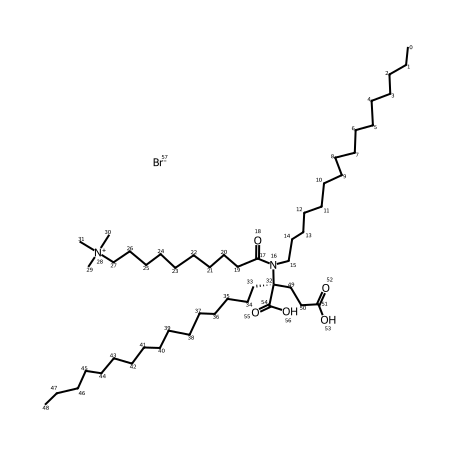 CCCCCCCCCCCCCCCCN(C(=O)CCCCCCCCC[N+](C)(C)C)[C@@](CCCCCCCCCCCCCCCC)(CCC(=O)O)C(=O)O.[Br-]